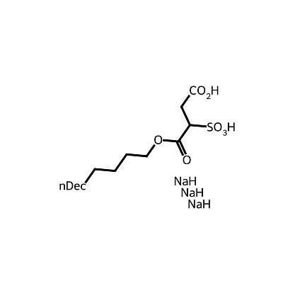 CCCCCCCCCCCCCCOC(=O)C(CC(=O)O)S(=O)(=O)O.[NaH].[NaH].[NaH]